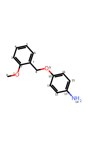 COc1ccccc1COc1ccc(N)cc1